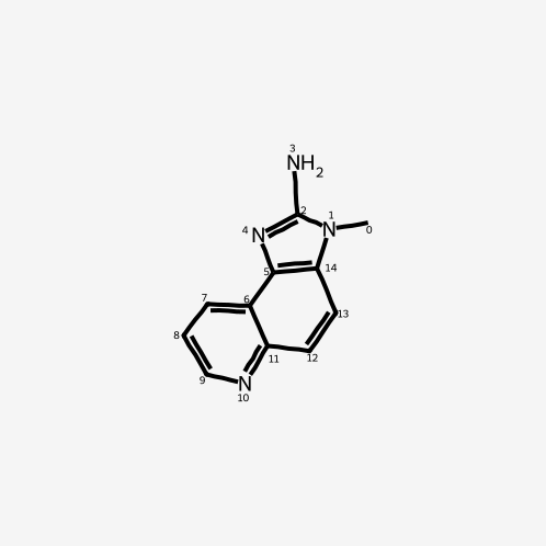 Cn1c(N)nc2c3cccnc3ccc21